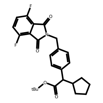 CC(C)(C)OC(=O)C(c1ccc(CN2C(=O)c3c(F)ccc(F)c3C2=O)cc1)C1CCCC1